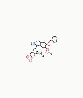 COc1cc2c(cc1OCc1ccccc1)CCNC2CCc1cc2c(cc1C)OCO2